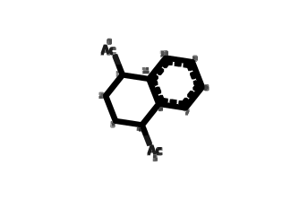 CC(=O)C1CCC(C(C)=O)c2ccccc21